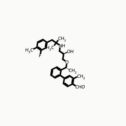 Cc1ccc(CC(C)(C)NC[C@@H](O)CO[C@H](C)c2ccccc2-c2ccc(C=O)c(C)c2)cc1F